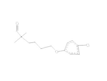 CC(C)([C]=O)CCCCOc1ccc(Cl)cc1